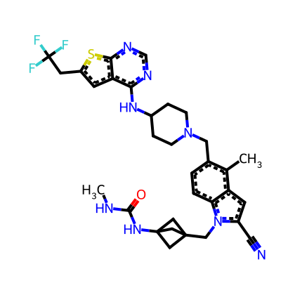 CNC(=O)NC12CC(Cn3c(C#N)cc4c(C)c(CN5CCC(Nc6ncnc7sc(CC(F)(F)F)cc67)CC5)ccc43)(C1)C2